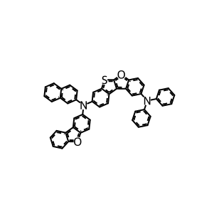 c1ccc(N(c2ccccc2)c2ccc3oc4sc5cc(N(c6ccc7ccccc7c6)c6ccc7oc8ccccc8c7c6)ccc5c4c3c2)cc1